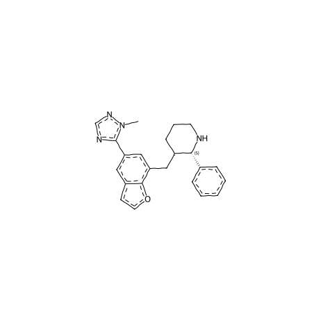 Cn1ncnc1-c1cc(C[C]2CCCN[C@@H]2c2ccccc2)c2occc2c1